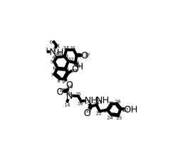 CCN(C)[C@@H]1Cc2ccc(OC(=O)N(C)CCNC(=O)[C@H](N)Cc3ccc(O)cc3)c3c2C2[C@H]1CCC(=O)[C@@H]2O3